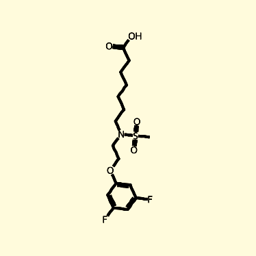 CS(=O)(=O)N(CCCCCCC(=O)O)CCOc1cc(F)cc(F)c1